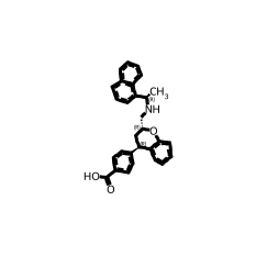 C[C@@H](NC[C@H]1C[C@H](c2ccc(C(=O)O)cc2)c2ccccc2O1)c1cccc2ccccc12